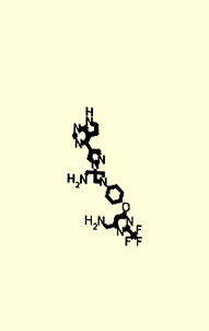 NCc1cc(O[C@H]2CC[C@@H](N3CC(CN)(n4cc(-c5ncnc6[nH]ccc56)cn4)C3)CC2)nc(C(F)(F)F)n1